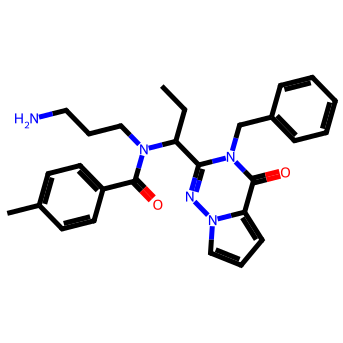 CCC(c1nn2cccc2c(=O)n1Cc1ccccc1)N(CCCN)C(=O)c1ccc(C)cc1